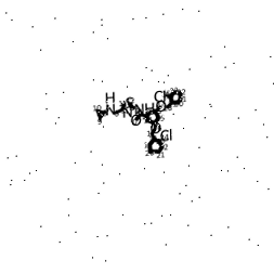 O=C(Nc1nc(CNC2CC2)cs1)c1cc(OCc2ccccc2Cl)cc(OCc2ccccc2Cl)c1